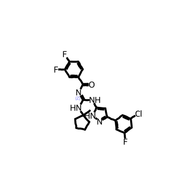 CC1(N/C(=N/C(=O)c2ccc(F)c(F)c2)Nc2cc(-c3cc(F)cc(Cl)c3)n[nH]2)CCCC1